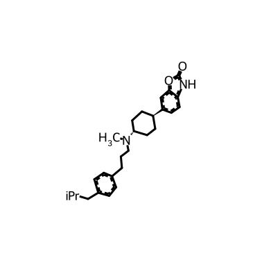 CC(C)Cc1ccc(CCCN(C)[C@H]2CC[C@H](c3ccc4[nH]c(=O)oc4c3)CC2)cc1